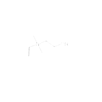 [CH2]C[N+](C)(C)CCO